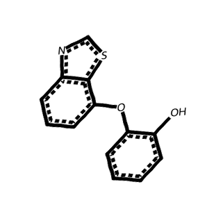 Oc1ccccc1Oc1cccc2ncsc12